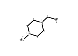 CCCCN1CCN(CC(C)C)CC1